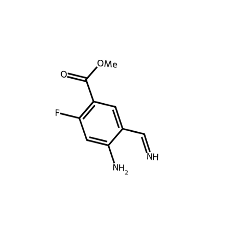 COC(=O)c1cc(C=N)c(N)cc1F